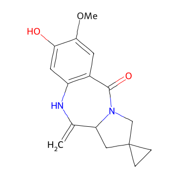 C=C1Nc2cc(O)c(OC)cc2C(=O)N2CC3(CC3)CC12